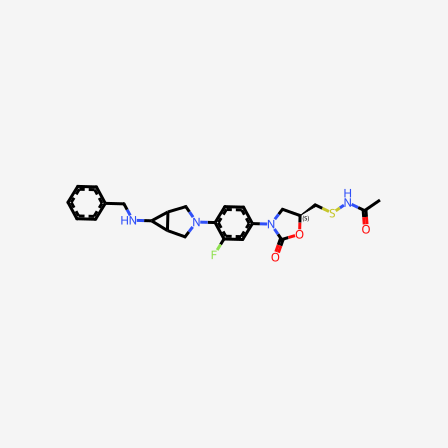 CC(=O)NSC[C@@H]1CN(c2ccc(N3CC4C(C3)C4NCc3ccccc3)c(F)c2)C(=O)O1